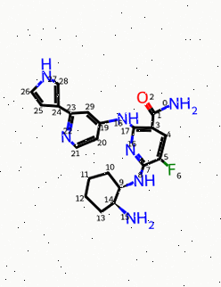 NC(=O)c1cc(F)c(N[C@@H]2CCCC[C@@H]2N)nc1Nc1ccnc(-c2cc[nH]c2)c1